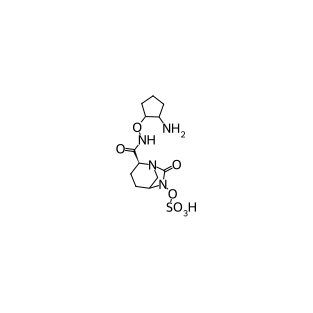 NC1CCCC1ONC(=O)[C@@H]1CCC2CN1C(=O)N2OS(=O)(=O)O